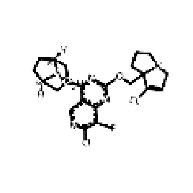 CCC1=CCN2CCCC12COc1nc(N2C[C@H]3CC[C@@H](C2)N3C(=O)O)c2cnc(Cl)c(F)c2n1